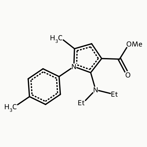 CCN(CC)c1c(C(=O)OC)cc(C)n1-c1ccc(C)cc1